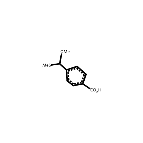 COC(SC)c1ccc(C(=O)O)cc1